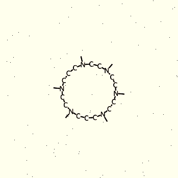 CN1CCCN(C)CCN(C)CCN(C)CCN(C)CCCN(C)CC1